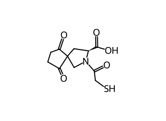 O=C(O)[C@@H]1CC2(CN1C(=O)CS)C(=O)CCC2=O